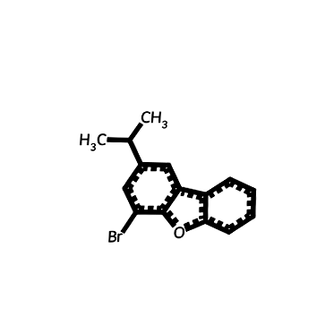 CC(C)c1cc(Br)c2oc3ccccc3c2c1